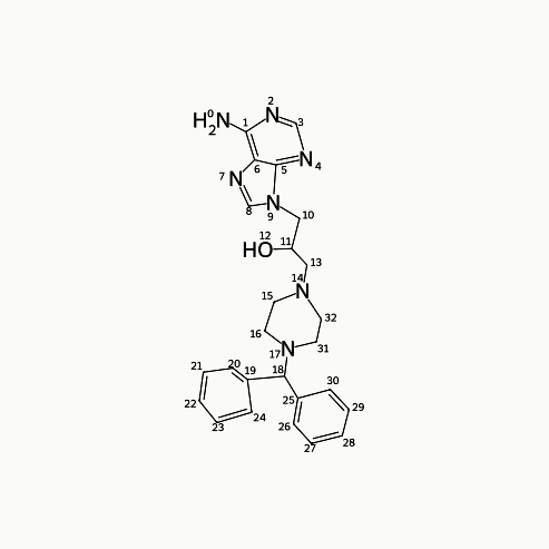 Nc1ncnc2c1ncn2CC(O)CN1CCN(C(c2ccccc2)c2ccccc2)CC1